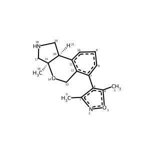 Cc1noc(C)c1-c1cccc2c1CO[C@@]1(C)CNC[C@@H]21